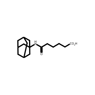 O=C(O)CCCCC(=O)NC12CC3CC(CC(C3)C1)C2